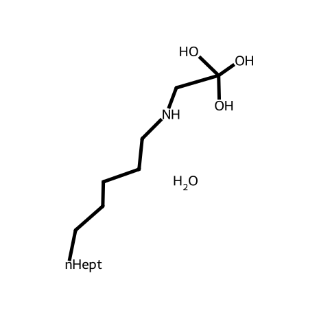 CCCCCCCCCCCCNCC(O)(O)O.O